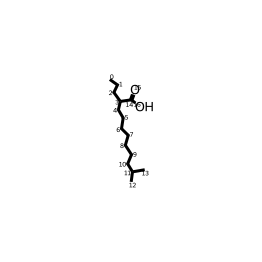 CCCC(CCCCCCCC(C)C)C(=O)O